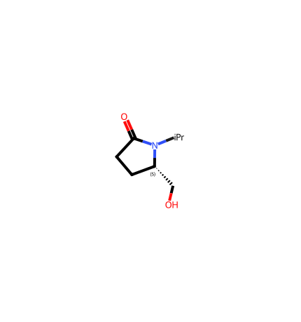 CC(C)N1C(=O)CC[C@H]1CO